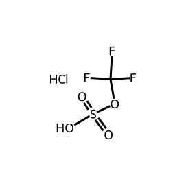 Cl.O=S(=O)(O)OC(F)(F)F